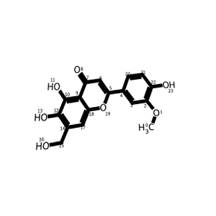 COc1cc(-c2cc(=O)c3c(O)c(O)c(CO)cc3o2)ccc1O